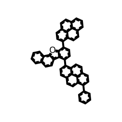 c1ccc(-c2ccc3ccc4c(-c5ccc(-c6ccc7ccc8cccc9ccc6c7c89)c6oc7c8ccccc8ccc7c56)ccc5ccc2c3c54)cc1